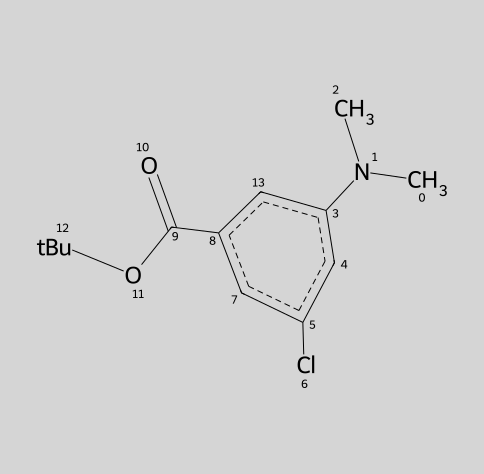 CN(C)c1cc(Cl)cc(C(=O)OC(C)(C)C)c1